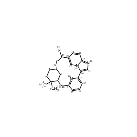 CC1(C)CCCCC1Nc1cccc(-c2cnc3ccc(C(F)F)cn23)n1